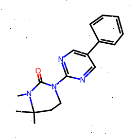 CN1C(=O)N(c2ncc(-c3ccccc3)cn2)CCC1(C)C